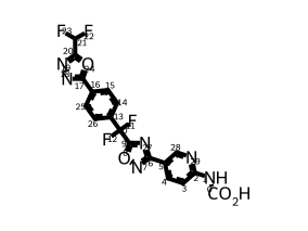 O=C(O)Nc1ccc(-c2noc(C(F)(F)c3ccc(-c4nnc(C(F)F)o4)cc3)n2)cn1